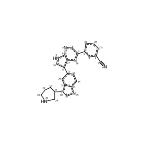 N#Cc1cc(-c2cnc3[nH]cc(-c4ccc5ncn(C6CCCNC6)c5c4)c3n2)ccn1